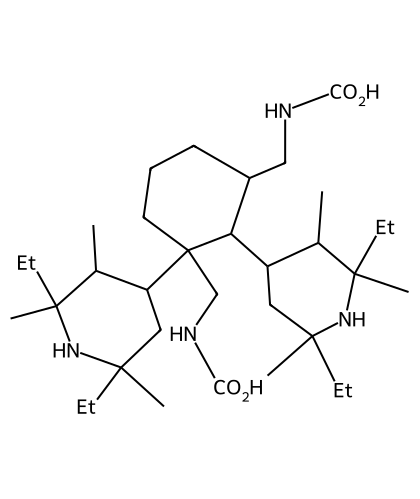 CCC1(C)CC(C2C(CNC(=O)O)CCCC2(CNC(=O)O)C2CC(C)(CC)NC(C)(CC)C2C)C(C)C(C)(CC)N1